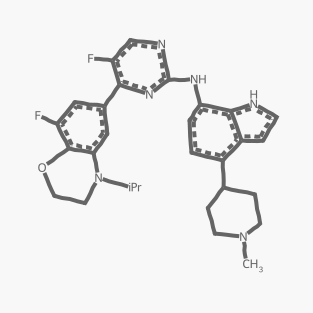 CC(C)N1CCOc2c(F)cc(-c3nc(Nc4ccc(C5CCN(C)CC5)c5cc[nH]c45)ncc3F)cc21